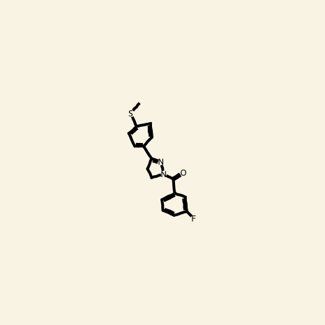 CSc1ccc(C2=NN(C(=O)c3cccc(F)c3)CC2)cc1